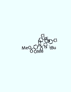 COC(=O)c1ccc(NC(=O)[C@H]2[C@H](c3cccc(Cl)c3F)[C@@](C#N)(c3ccc(Cl)cc3F)[C@H](CC(C)(C)C)N2C)cc1OC